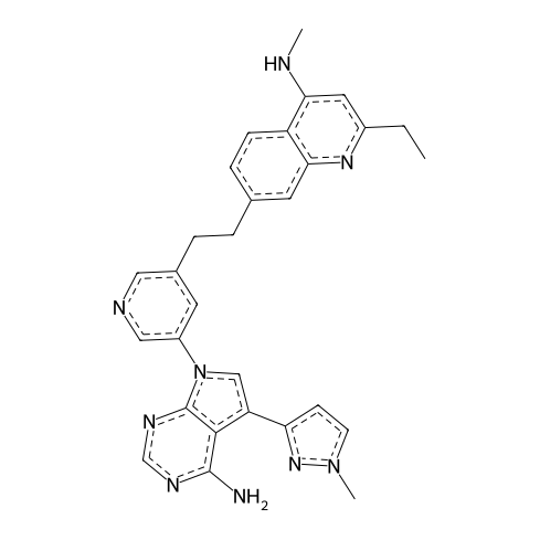 CCc1cc(NC)c2ccc(CCc3cncc(-n4cc(-c5ccn(C)n5)c5c(N)ncnc54)c3)cc2n1